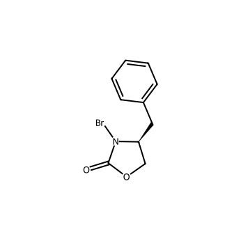 O=C1OC[C@H](Cc2ccccc2)N1Br